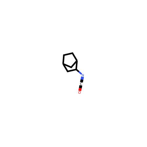 O=C=NC1CC2CCC1C2